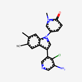 Cc1cc2c(cc1C#N)c(-c1cncc(N)c1Cl)cn2-c1ccc(=O)n(C)c1